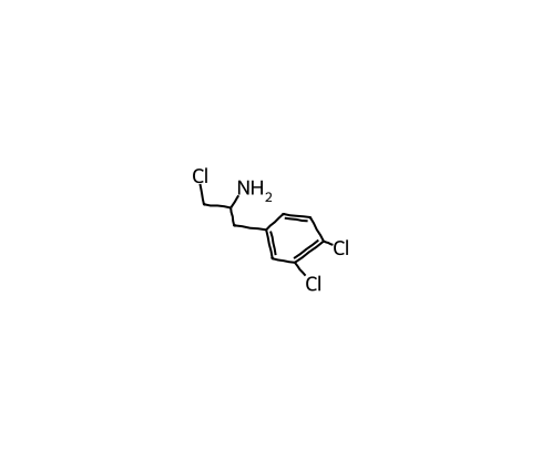 NC(CCl)Cc1ccc(Cl)c(Cl)c1